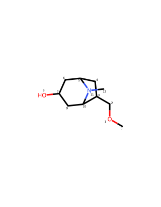 COCC1CC2CC(O)CC1N2C